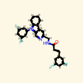 O=C(/C=C/c1cc(F)cc(F)c1)NCc1cc2c3ccccc3n(-c3cc(F)cc(F)c3)c2cn1